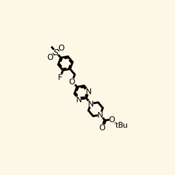 CC(C)(C)OC(=O)N1CCN(c2ncc(OCc3ccc(S(C)(=O)=O)cc3F)cn2)CC1